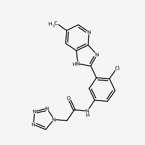 Cc1cnc2nc(-c3cc(NC(=O)Cn4cnnn4)ccc3Cl)[nH]c2c1